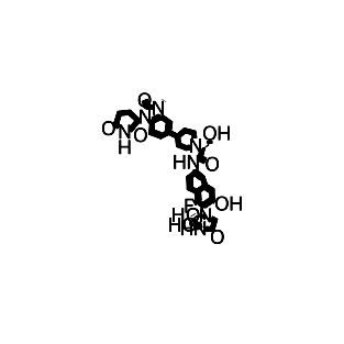 Cn1c(=O)n(C2CCC(=O)NC2=O)c2ccc(C3CCN([C@H](CO)C(=O)Nc4ccc5c(F)c(N6CC(=O)NS6(O)O)c(O)cc5c4)CC3)cc21